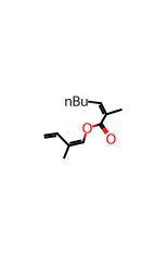 C=CC(C)=COC(=O)C(C)=CCCCC